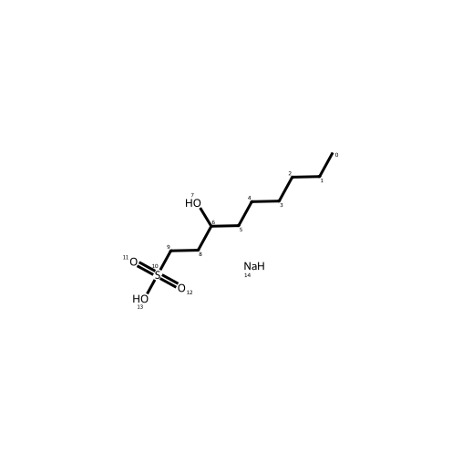 CCCCCCC(O)CCS(=O)(=O)O.[NaH]